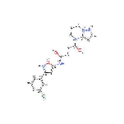 O=C(CCC(=O)N1CCCn2nccc21)Nc1cc(-c2cccc(Cl)c2)no1